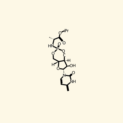 C=C1C=CN([C@@H]2O[C@@H]3COP(=O)(N[C@H](C)C(=O)OC(C)C)OC[C@H]3[C@H]2O)C(=O)N1